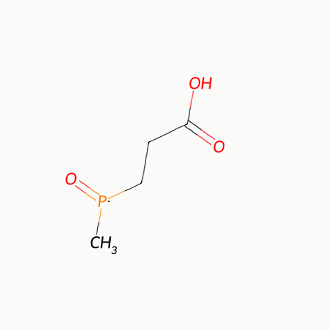 C[P](=O)CCC(=O)O